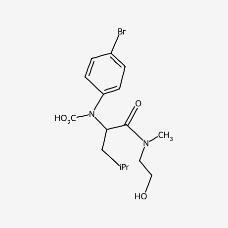 CC(C)CC(C(=O)N(C)CCO)N(C(=O)O)c1ccc(Br)cc1